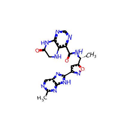 Cc1ncc2nc(-c3cc([C@@H](C)NC(=O)c4ncnc5c4NCC(=O)N5)on3)[nH]c2n1